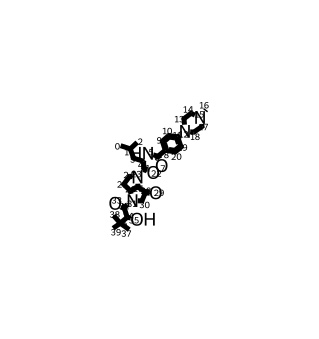 CC(C)CC(NC(=O)c1ccc(N2CCN(C)CC2)cc1)C(=O)N1CCC2C1C(=O)CN2C(=O)C(O)C(C)(C)C